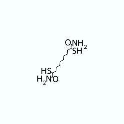 NC(=O)C(S)CCCCCCCCC(S)C(N)=O